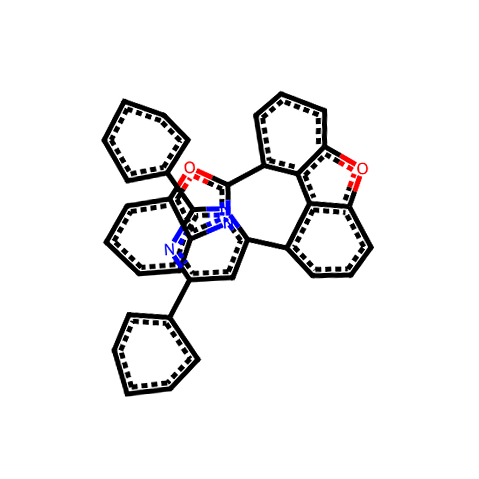 c1ccc(-c2cc(-c3cccc4oc5cccc(-c6nc7ccccc7o6)c5c34)nc(-c3ccccc3)n2)cc1